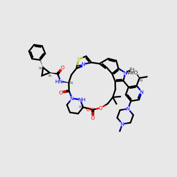 CCn1c(-c2cc(N3CCN(C)CC3)cnc2[C@H](C)OC)c2c3cc(ccc31)-c1csc(n1)C[C@H](NC(=O)[C@H]1C[C@@H]1c1ccccc1)C(=O)N1CCC[C@@](O)(N1)C(=O)OCC(C)(C)C2